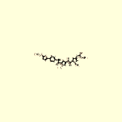 CCOC(=O)c1ccc(-c2ccc(NC(=O)c3cc(NC(=O)c4cc(NC(=O)OC(C)(C)C)cn4C)cn3C)cc2)s1